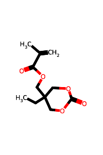 C=C(C)C(=O)OCC1(CC)COC(=O)OC1